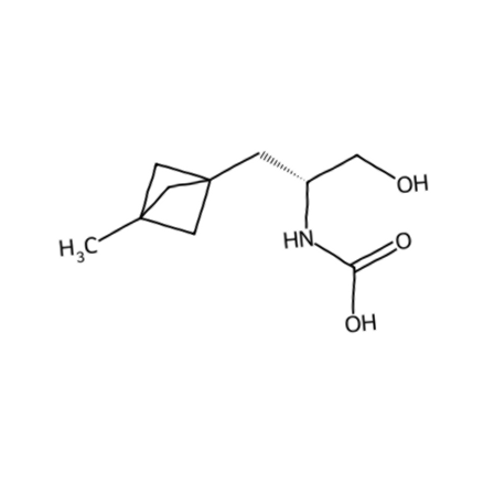 CC12CC(C[C@H](CO)NC(=O)O)(C1)C2